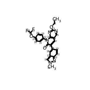 CCOc1ncc2cc(-c3ccc4nn(C)cc4c3)c(=O)n(-c3ccc(OC(F)F)cc3)c2n1